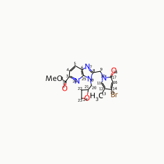 COC(=O)c1ccc2nc(Cn3cc(C)c(Br)cc3=O)n(CC3CCO3)c2n1